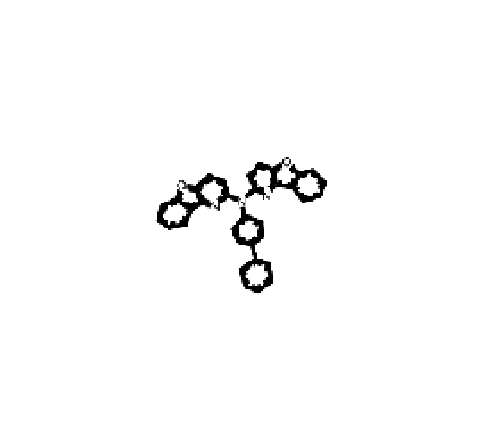 c1ccc(-c2ccc(N(c3ccc4oc5ccccc5c4n3)c3ccc4oc5ccccc5c4n3)cc2)cc1